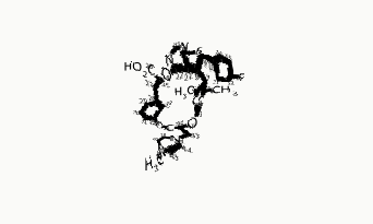 Cc1cc2cc(C)c1-c1c(-c3ccc(F)cc3)sc3ncnc(c13)OC(C(=O)O)Cc1cccc(c1)OCC(CN1CCN(C)CC1)O2